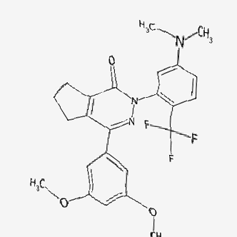 COc1cc(OC)cc(-c2nn(-c3cc(N(C)C)ccc3C(F)(F)F)c(=O)c3c2CCC3)c1